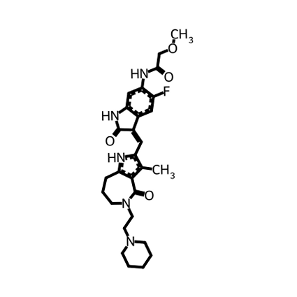 COCC(=O)Nc1cc2c(cc1F)/C(=C/c1[nH]c3c(c1C)C(=O)N(CCN1CCCCC1)CCC3)C(=O)N2